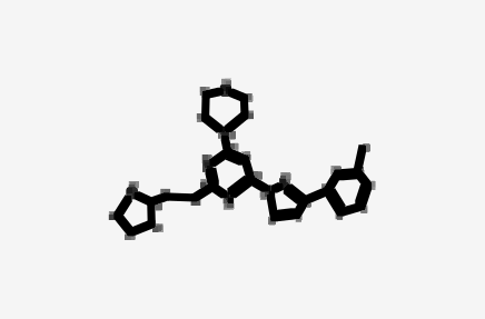 Cc1cccc(-c2ccn(-c3cc(N4CCOCC4)nc(CCC4CCCO4)n3)n2)c1